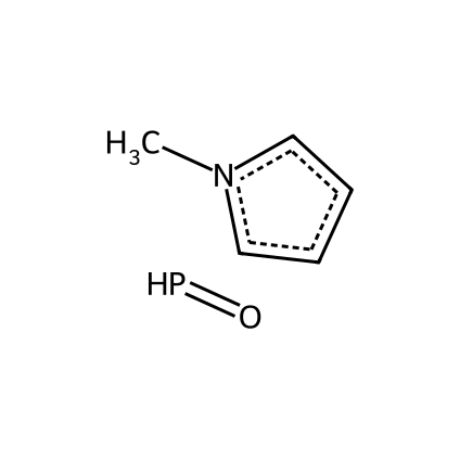 Cn1cccc1.O=P